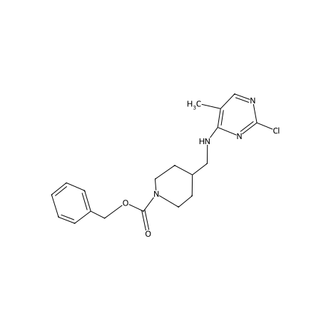 Cc1cnc(Cl)nc1NCC1CCN(C(=O)OCc2ccccc2)CC1